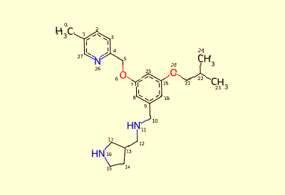 Cc1ccc(COc2cc(CNCC3CCNC3)cc(OCC(C)C)c2)nc1